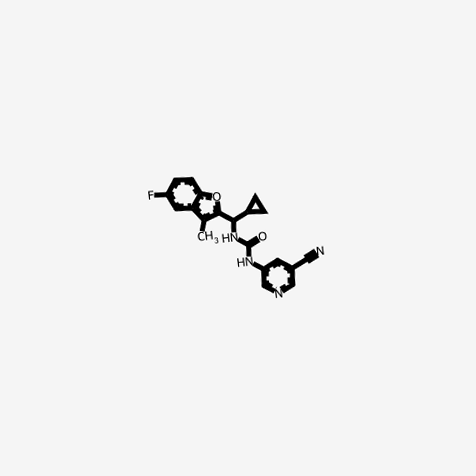 Cc1c(C(NC(=O)Nc2cncc(C#N)c2)C2CC2)oc2ccc(F)cc12